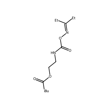 CCC(CC)=NOC(=O)NCCOC(=O)C(C)CC